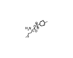 CSCC[C@H](N)C(=O)OS(=O)(=O)c1ccc(C)cc1